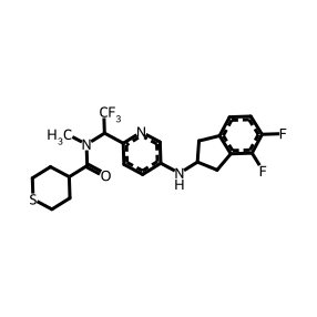 CN(C(=O)C1CCSCC1)C(c1ccc(NC2Cc3ccc(F)c(F)c3C2)cn1)C(F)(F)F